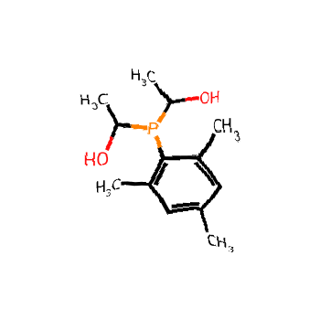 Cc1cc(C)c(P(C(C)O)C(C)O)c(C)c1